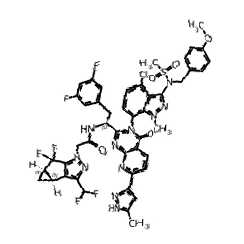 COc1ccc(CN(c2nn(C)c3c(-n4c([C@H](Cc5cc(F)cc(F)c5)NC(=O)Cn5nc(C(F)F)c6c5C(F)(F)[C@@H]5C[C@H]65)nc5nc(-c6cc(C)[nH]n6)ccc5c4=O)ccc(Cl)c23)S(C)(=O)=O)cc1